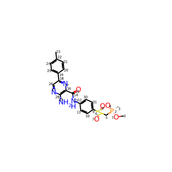 CO[P@](C)(=O)CS(=O)(=O)c1ccc(NC(=O)c2nc(-c3ccc(C)cc3)cnc2N)cc1